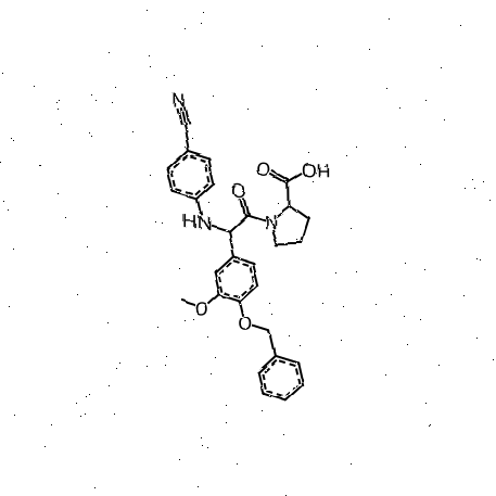 COc1cc(C(Nc2ccc(C#N)cc2)C(=O)N2CCCC2C(=O)O)ccc1OCc1ccccc1